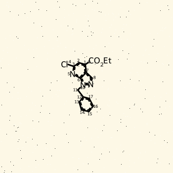 CCOC(=O)c1cc(Cl)nc2c1cnn2Cc1ccccc1